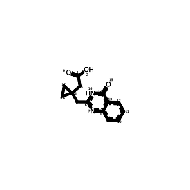 O=C(O)CC1(Cc2nc3ccccc3c(=O)[nH]2)CC1